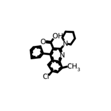 Cc1cc(Cl)cc2c(-c3ccccc3)c(C(=O)O)c(N3CCCCC3)nc12